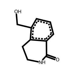 O=C1NCCc2c(CO)cccc21